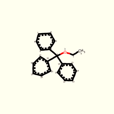 C[CH]OC(c1ccccc1)(c1ccccc1)c1ccccc1